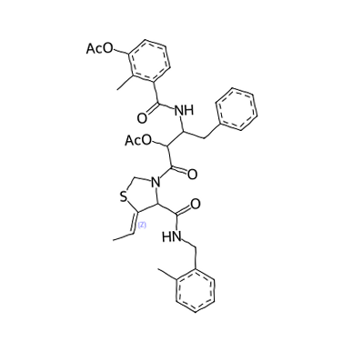 C/C=C1\SCN(C(=O)C(OC(C)=O)C(Cc2ccccc2)NC(=O)c2cccc(OC(C)=O)c2C)C1C(=O)NCc1ccccc1C